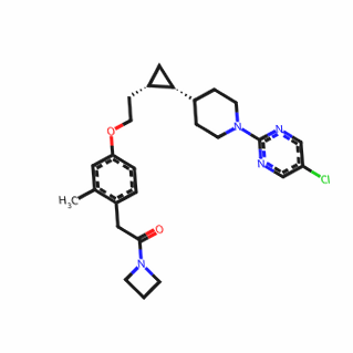 Cc1cc(OCC[C@@H]2C[C@@H]2C2CCN(c3ncc(Cl)cn3)CC2)ccc1CC(=O)N1CCC1